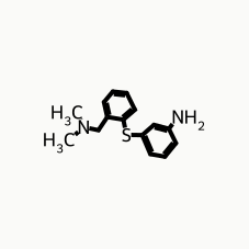 CN(C)Cc1ccccc1Sc1cccc(N)c1